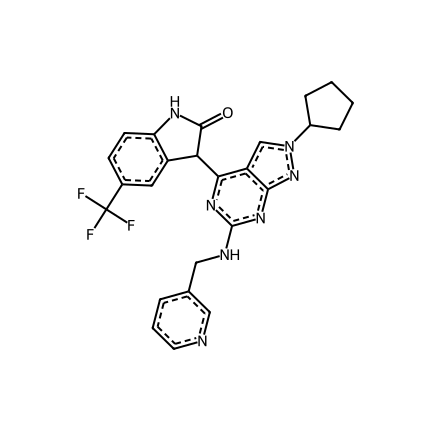 O=C1Nc2ccc(C(F)(F)F)cc2C1c1nc(NCc2cccnc2)nc2nn(C3CCCC3)cc12